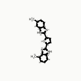 Cc1ccc2nc(-c3ccc(-c4nc5c(C)cccc5[nH]4)o3)[nH]c2c1